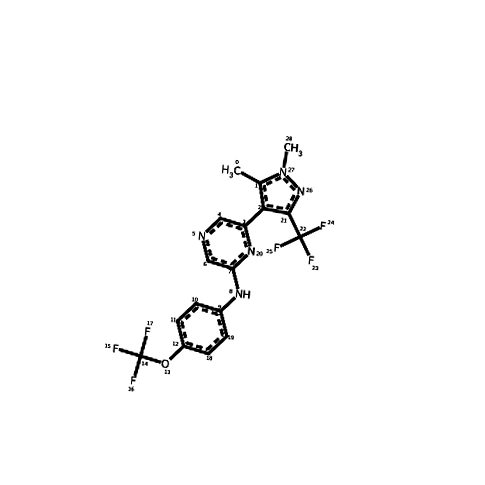 Cc1c(-c2cncc(Nc3ccc(OC(F)(F)F)cc3)n2)c(C(F)(F)F)nn1C